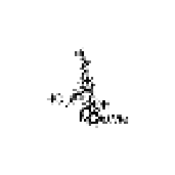 COc1ccc2nccc([C@@H](O)CCC3CCN(CCCSC4CC4)CC3CCC(=O)O)c2c1